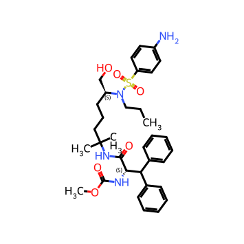 CCCN([C@H](CO)CCCC(C)(C)NC(=O)[C@@H](NC(=O)OC)C(c1ccccc1)c1ccccc1)S(=O)(=O)c1ccc(N)cc1